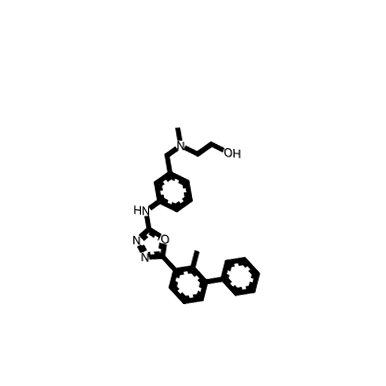 Cc1c(-c2ccccc2)cccc1-c1nnc(Nc2cccc(CN(C)CCO)c2)o1